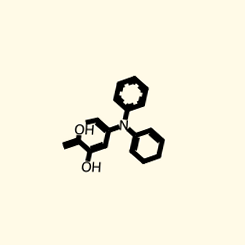 C=C(O)/C(O)=C\C(=C/C)N(C1=CCCC=C1)c1ccccc1